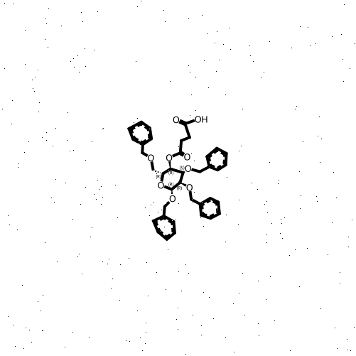 O=C(O)CCC(=O)O[C@H]1[C@H](OCc2ccccc2)[C@@H](OCc2ccccc2)[C@H](OCc2ccccc2)O[C@@H]1COCc1ccccc1